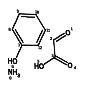 N.O=CC(=O)O.Oc1ccccc1